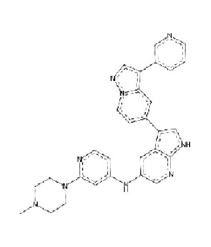 CN1CCN(c2cc(Nc3cnc4[nH]cc(-c5ccn6ncc(-c7cccnc7)c6c5)c4c3)ccn2)CC1